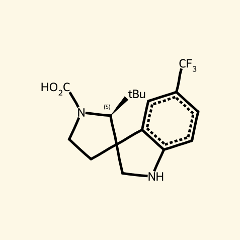 CC(C)(C)[C@@H]1N(C(=O)O)CCC12CNc1ccc(C(F)(F)F)cc12